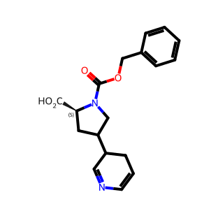 O=C(O)[C@@H]1CC(C2C=NC=CC2)CN1C(=O)OCc1ccccc1